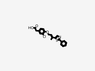 C/C(=C\COc1ccc(CC(=O)O)cc1Cl)c1cnc(-c2ccccc2)s1